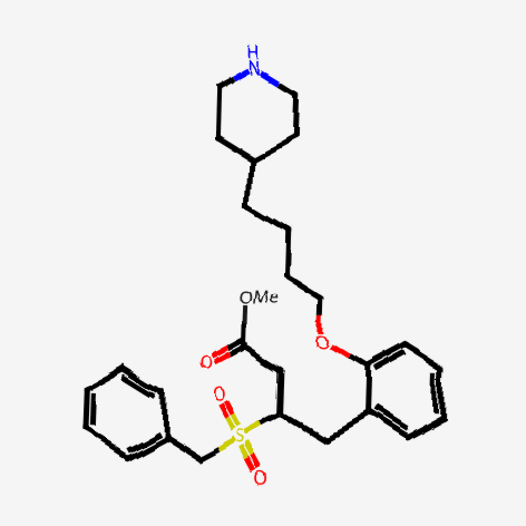 COC(=O)CC(Cc1ccccc1OCCCCC1CCNCC1)S(=O)(=O)Cc1ccccc1